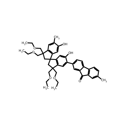 CCOCC1(COCC)CC2(CC(COCC)(COCC)c3cc(-c4ccc5c(c4)C(=O)c4cc(C)ccc4-5)c(O)cc32)c2cc(O)c(C)cc21